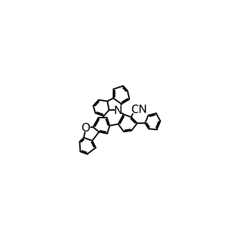 N#Cc1c(-c2ccccc2)ccc(-c2ccc3oc4ccccc4c3c2)c1N1c2ccccc2C2C=CC=CC21